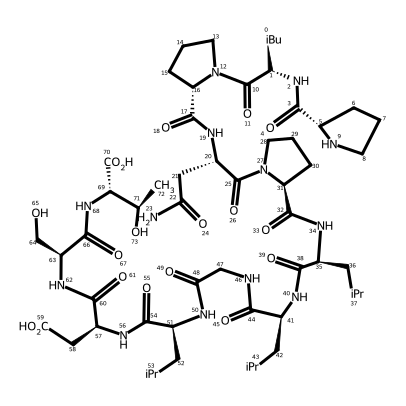 CC[C@H](C)[C@H](NC(=O)[C@@H]1CCCN1)C(=O)N1CCC[C@H]1C(=O)N[C@@H](CC(N)=O)C(=O)N1CCC[C@H]1C(=O)N[C@@H](CC(C)C)C(=O)N[C@@H](CC(C)C)C(=O)NCC(=O)N[C@@H](CC(C)C)C(=O)N[C@@H](CC(=O)O)C(=O)N[C@@H](CO)C(=O)N[C@H](C(=O)O)[C@@H](C)O